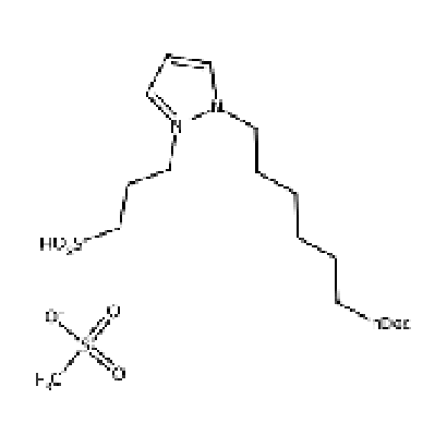 CCCCCCCCCCCCCCCCn1ccc[n+]1CCCS(=O)(=O)O.O=S(=O)([O-])C(F)(F)F